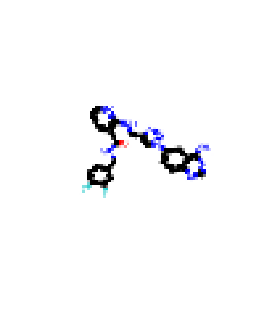 Nc1ncnc2ccc(-n3cc(CNc4ncccc4C(=O)NCc4ccc(F)c(F)c4)nn3)cc12